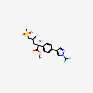 CC(C[C@](N)(C(=O)OC(C)C)c1ccc(-c2cnn(C(F)F)c2)cc1)CS(C)(=O)=O